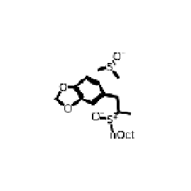 CCCCCCCC[S+]([O-])C(C)Cc1ccc2c(c1)OCO2.C[S+](C)[O-]